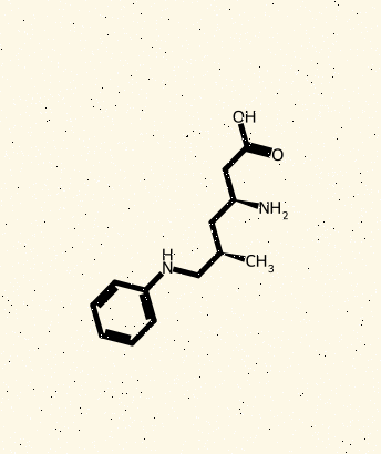 C[C@@H](CNc1ccccc1)C[C@H](N)CC(=O)O